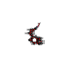 CC(C)=CCC/C(C)=C/COc1ccc(C2OCC3OC(OC4C(CO)OC(Oc5ccc(CC6NC(=O)C(C(C)c7ccccc7)NC(=O)CNC(=O)C(CO)NC(=O)C(C(O)C7CNC(=N)N7C7OC(CO)C(O)C(O)C7O)NC(=O)C(C(O)C7CNC(=N)N7)NC6=O)cc5)C(O)C4O)C(O)C(O)C3O2)cc1